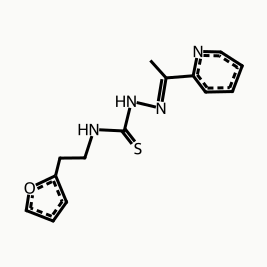 CC(=NNC(=S)NCCc1ccco1)c1ccccn1